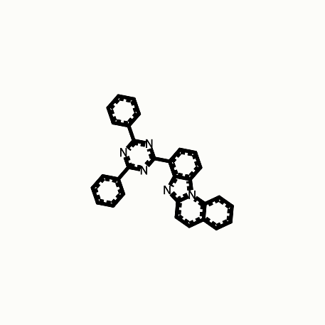 c1ccc(-c2nc(-c3ccccc3)nc(-c3cccc4c3nc3ccc5ccccc5n34)n2)cc1